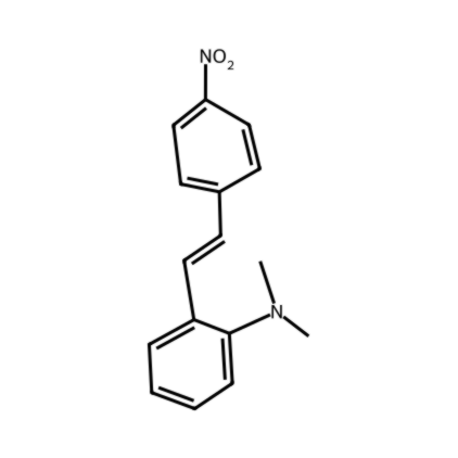 CN(C)c1ccccc1/C=C/c1ccc([N+](=O)[O-])cc1